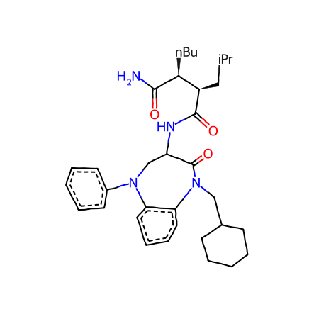 CCCC[C@H](C(N)=O)[C@@H](CC(C)C)C(=O)NC1CN(c2ccccc2)c2ccccc2N(CC2CCCCC2)C1=O